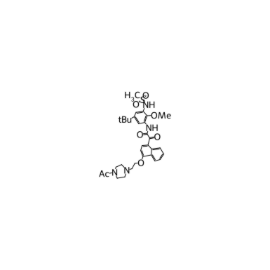 COc1c(NC(=O)C(=O)c2ccc(OCCN3CCN(C(C)=O)CC3)c3ccccc23)cc(C(C)(C)C)cc1NS(C)(=O)=O